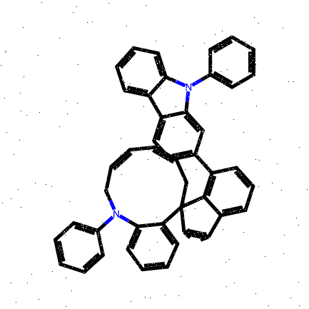 C1=C\CN(c2ccccc2)c2ccccc2C2(C\C=C/1)c1ccccc1-c1cccc(-c3ccc4c5ccccc5n(-c5ccccc5)c4c3)c12